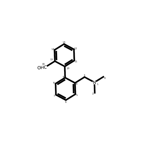 CN(C)Cc1ccccc1-c1ccccc1C=O